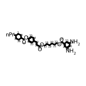 CCCC1CCC(C(=O)Oc2ccc(C=CC(=O)OCCCCCCOC(=O)c3cc(N)cc(N)c3)cc2)CC1